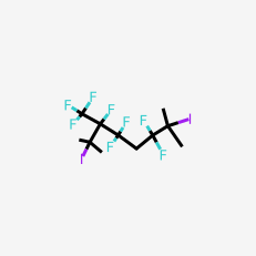 CC(C)(I)C(F)(F)CC(F)(F)C(F)(C(F)(F)F)C(C)(C)I